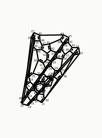 c1ccc2c(c1)C1CC2C23c4c5c6c7c8c9c(c%10c%11c2c2c4c4c%12c5c5c6c6c8c8c%13c9c9c%10c%10c%11c%11c2c2c4c4c%12c%12c5c5c6c8c6c8c%13c9c9c%10c%10c%11c2c2c4c4c%12c5c6c5c8c9c%10c2c45)C713